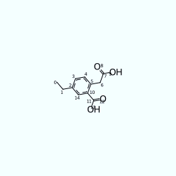 CCc1ccc(CC(=O)O)c(C(=O)O)c1